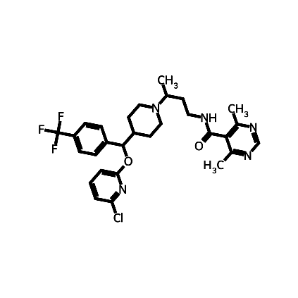 Cc1ncnc(C)c1C(=O)NCCC(C)N1CCC(C(Oc2cccc(Cl)n2)c2ccc(C(F)(F)F)cc2)CC1